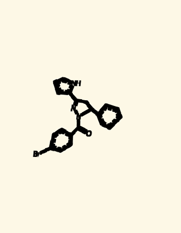 O=C(c1ccc(Br)cc1)N1N=C(c2ccc[nH]2)CC1c1ccccc1